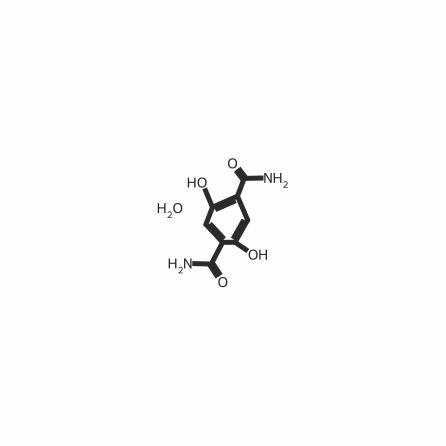 NC(=O)c1cc(O)c(C(N)=O)cc1O.O